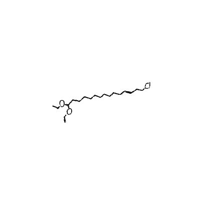 CCOC(CCCCCCCCCC/C=C/CCCl)OCC